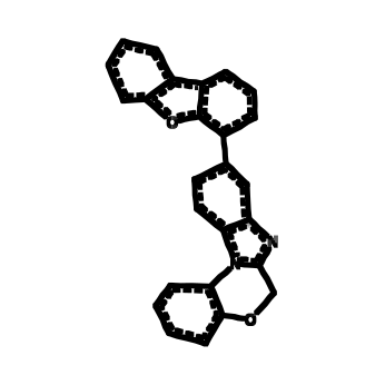 c1ccc2c(c1)OCc1nc3cc(-c4cccc5c4oc4ccccc45)ccc3n1-2